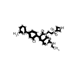 CCNc1ncc2cc(-c3ccc(-c4cccc(C)n4)cc3Cl)c(=O)n(CCS(=O)(=O)C3CNC3)c2n1